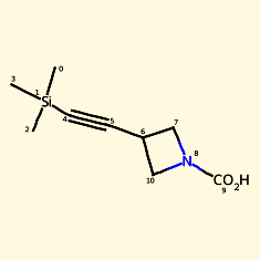 C[Si](C)(C)C#CC1CN(C(=O)O)C1